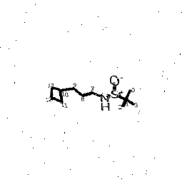 CC(C)(C)[S+]([O-])NCCCC1CCC1